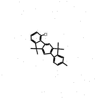 Cc1ccc2c(c1)C(C)(C)c1cc3c(cc1-2)C(C)(C)c1cccc(Cl)c1-3